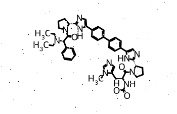 CCN(CC)[C@@H](C(=O)N1CCC[C@H]1c1ncc(-c2ccc(-c3ccc(-c4cnc([C@@H]5CCCN5C(=O)[C@H](Cc5cncn5C)NC(=O)O)[nH]4)cc3)cc2)[nH]1)c1ccccc1